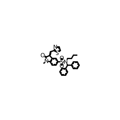 CCCCN(C(c1ccccc1)c1ccccc1)S(=O)(=O)c1ccc2c(c1)/C(=C\c1nccs1)C(=O)N2C